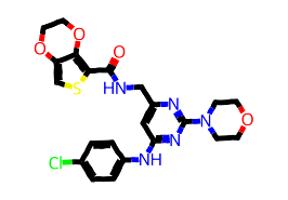 O=C(NCc1cc(Nc2ccc(Cl)cc2)nc(N2CCOCC2)n1)c1scc2c1OCCO2